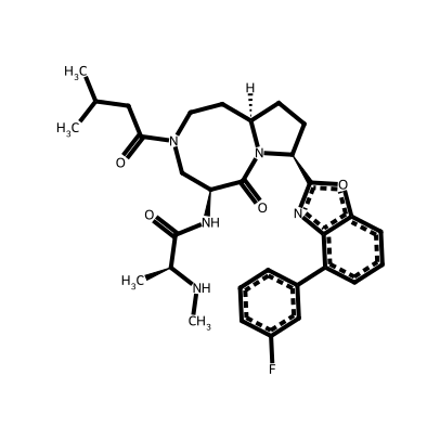 CN[C@@H](C)C(=O)N[C@H]1CN(C(=O)CC(C)C)CC[C@H]2CC[C@@H](c3nc4c(-c5cccc(F)c5)cccc4o3)N2C1=O